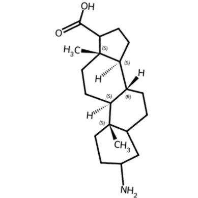 C[C@]12CCC(N)CC1CC[C@@H]1[C@@H]2CC[C@]2(C)C(C(=O)O)CC[C@@H]12